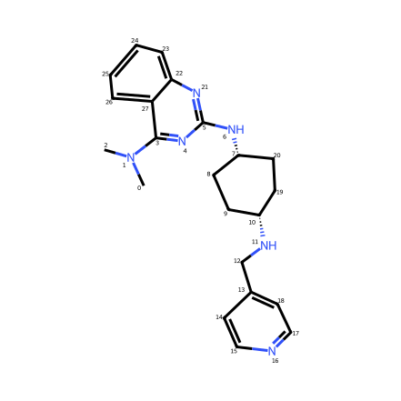 CN(C)c1nc(N[C@H]2CC[C@@H](NCc3ccncc3)CC2)nc2ccccc12